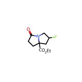 CCOC(=O)C12CCC(=O)N1CC(F)C2